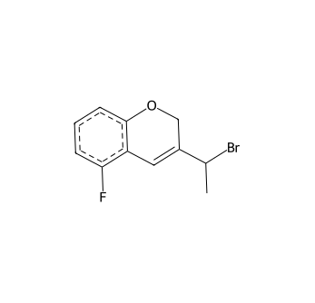 CC(Br)C1=Cc2c(F)cccc2OC1